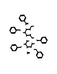 CCC1OC(COCc2ccccc2)C(OC2OC(C)C(OCc3ccccc3)C(OC(C)=O)C2OCc2ccccc2)C(OCc2ccccc2)C1OC(=O)c1ccccc1